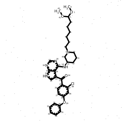 COC(CCCCCCN1CCC[C@@H](Nc2ncnc3[nH]cc(C(=O)c4ccc(Oc5ccccc5)cc4Cl)c23)C1)OC